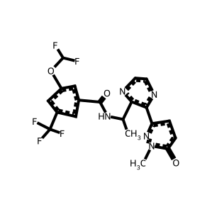 CC(NC(=O)c1cc(OC(F)F)cc(C(F)(F)F)c1)c1nccnc1-c1ccc(=O)n(C)n1